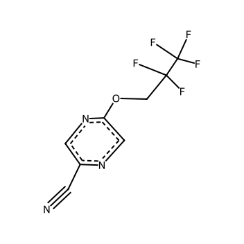 N#Cc1cnc(OCC(F)(F)C(F)(F)F)cn1